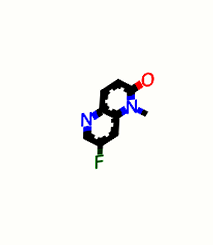 Cn1c(=O)ccc2ncc(F)cc21